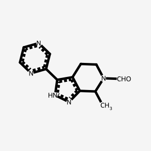 CC1c2n[nH]c(-c3cnccn3)c2CCN1C=O